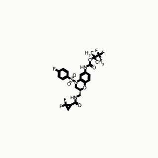 CC(C)(OC(=O)Nc1ccc2c(c1)N(S(=O)(=O)c1ccc(F)cc1)C[C@H](CNC(=O)C1CC1(F)F)O2)C(F)(F)F